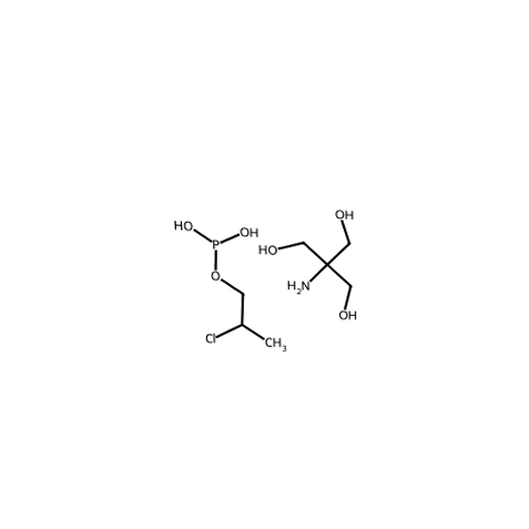 CC(Cl)COP(O)O.NC(CO)(CO)CO